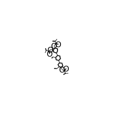 C=Cc1cc(-c2ccc(-c3ccc(OC(=O)C(=C)C)c(OC(=O)C(=C)C)c3)c(C=C)c2)ccc1OC(=O)C(=C)C